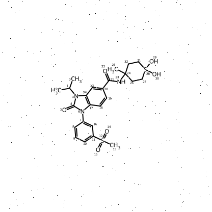 CC(C)n1c(=O)n(-c2cccc(S(C)(=O)=O)c2)c2ccc(C(=O)NC3(C)CCS(O)(O)CC3)cc21